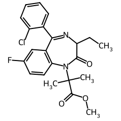 CCC1N=C(c2ccccc2Cl)c2cc(F)ccc2N(C(C)(C)C(=O)OC)C1=O